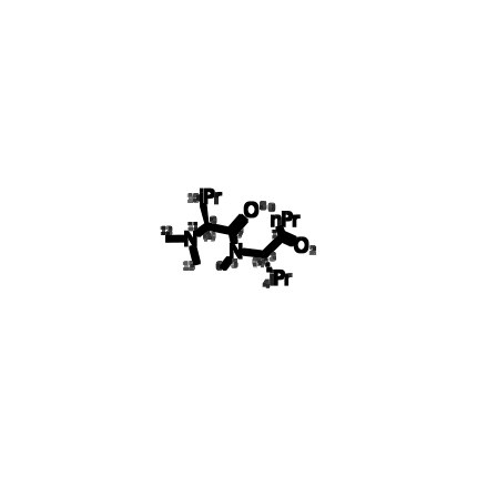 [CH2]CCC(=O)[C@H](C(C)C)N(C)C(=O)[C@H](C(C)C)N(C)C